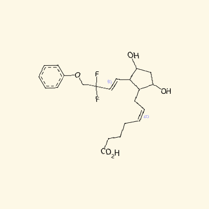 O=C(O)CCC/C=C\CC1C(O)CC(O)C1/C=C/C(F)(F)COc1ccccc1